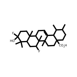 CC1CCC2(C(=O)O)CCC3(C)C(=CCC4C5(C)CCC(O)(F)C(C)(C)C5CC(F)C43C)C2C1C